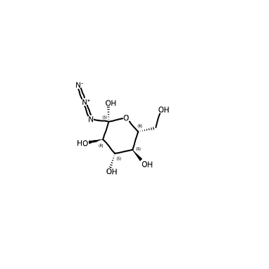 [N-]=[N+]=N[C@@]1(O)O[C@H](CO)[C@@H](O)[C@H](O)[C@H]1O